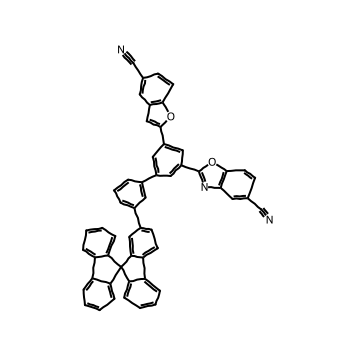 N#Cc1ccc2oc(-c3cc(-c4cccc(-c5ccc6c(c5)C5(c7ccccc7-c7ccccc75)c5ccccc5-6)c4)cc(-c4nc5cc(C#N)ccc5o4)c3)cc2c1